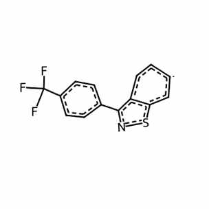 FC(F)(F)c1ccc(-c2nsc3c[c]ccc23)cc1